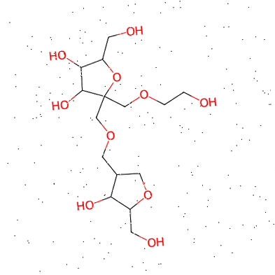 OCCOCC1(COCC2COC(CO)C2O)OC(CO)C(O)C1O